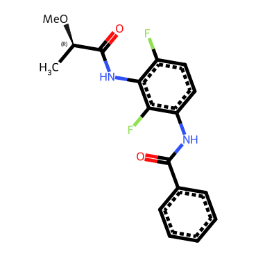 CO[C@H](C)C(=O)Nc1c(F)ccc(NC(=O)c2ccccc2)c1F